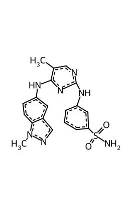 Cc1cnc(Nc2cccc(S(N)(=O)=O)c2)nc1Nc1ccc2c(cnn2C)c1